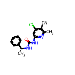 Cc1nc(NC(=O)N[C@H](C)c2ccccc2)cc(Cl)c1C#N